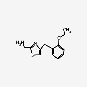 CCOc1ccccc1Cc1csc(CN)n1